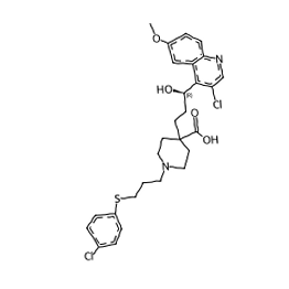 COc1ccc2ncc(Cl)c([C@H](O)CCC3(C(=O)O)CCN(CCCSc4ccc(Cl)cc4)CC3)c2c1